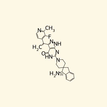 C=C(c1ccnc(C)c1F)c1n[nH]c2nc(N3CCC4(CC3)Cc3ccccc3[C@H]4N)[nH]c(=O)c12